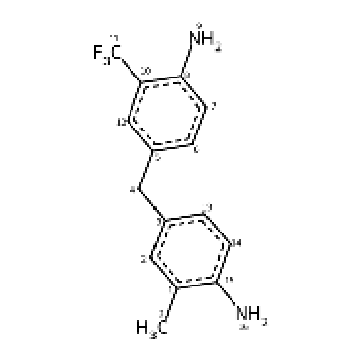 Cc1cc(Cc2ccc(N)c(C(F)(F)F)c2)ccc1N